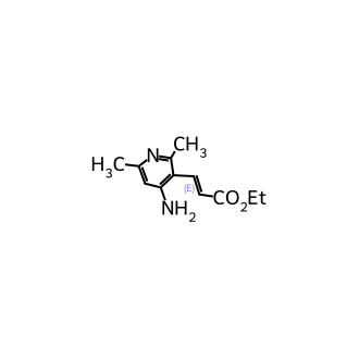 CCOC(=O)/C=C/c1c(N)cc(C)nc1C